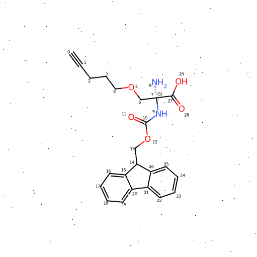 C#CCCCOC[C@](N)(NC(=O)OCC1c2ccccc2-c2ccccc21)C(=O)O